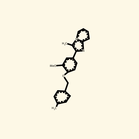 COc1cc(-c2nc3ccccn3c2C)ccc1OCc1ccc(C)cc1